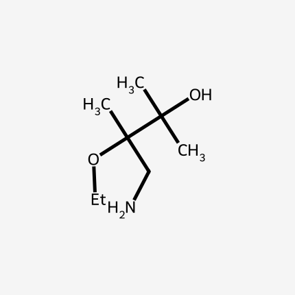 CCOC(C)(CN)C(C)(C)O